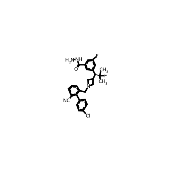 CC(C)(F)[C@H](c1cc(F)cc(C(=O)NN)c1)C1CN(Cc2cccc(C#N)c2-c2ccc(Cl)cc2)C1